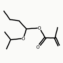 C=C(C)C(=O)OC(CCC)OC(C)C